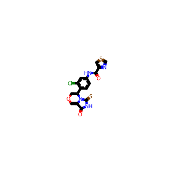 O=C1NC(=S)N2C1=COCC2c1ccc(NC(=O)c2cscn2)cc1Cl